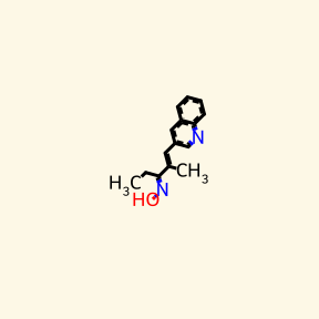 CCC(=NO)/C(C)=C/c1cnc2ccccc2c1